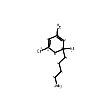 CCC1=CC(CC)(CCC[CH2][Mg])CC(CC)=C1